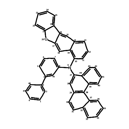 c1ccc(-c2cccc(N(c3cccc4cc5c(cc34)oc3ccccc35)c3cc4ccc5ccccc5c4c4ccccc34)c2)cc1